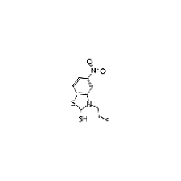 C=CCN1c2cc([N+](=O)[O-])ccc2SC1S